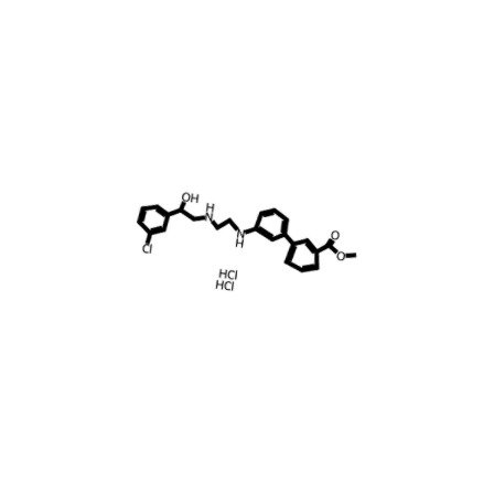 COC(=O)c1cccc(-c2cccc(NCCNCC(O)c3cccc(Cl)c3)c2)c1.Cl.Cl